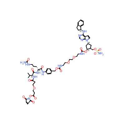 CC(C)[C@@H](NC(=O)CCOCCC(=O)ON1C(=O)C=CC1=O)C(=O)N[C@H](CCCNC(N)=O)C(=O)Nc1ccc(COC(=O)NCCOCCOCCNC(=O)O[C@H]2C[C@H](n3ccc4c(N[C@H]5CCc6ccccc65)ncnc43)C[C@H]2COS(N)(=O)=O)cc1